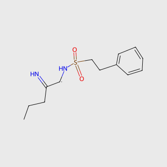 CCCC(=N)[CH]NS(=O)(=O)CCc1ccccc1